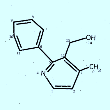 Cc1ccnc(-c2ccccc2)c1CO